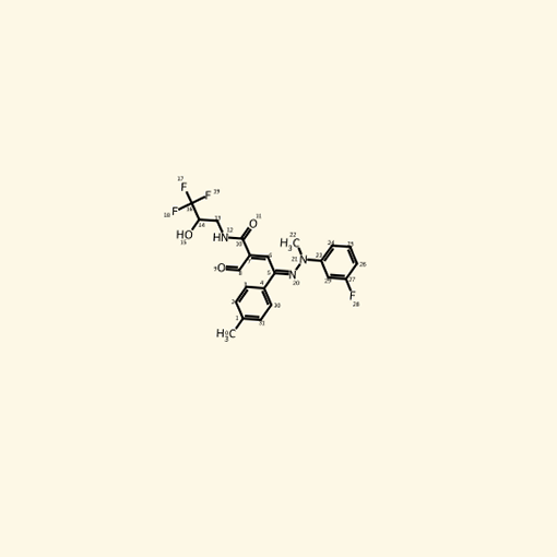 Cc1ccc(C(/C=C(\C=O)C(=O)NCC(O)C(F)(F)F)=N/N(C)c2cccc(F)c2)cc1